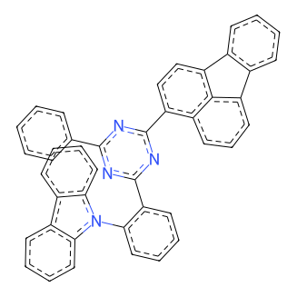 c1ccc(-c2nc(-c3ccccc3-n3c4ccccc4c4ccccc43)nc(-c3ccc4c5c(cccc35)-c3ccccc3-4)n2)cc1